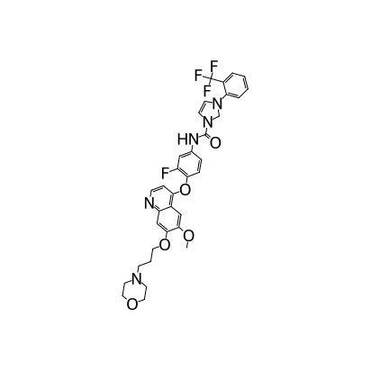 COc1cc2c(Oc3ccc(NC(=O)N4C=CN(c5ccccc5C(F)(F)F)C4)cc3F)ccnc2cc1OCCCN1CCOCC1